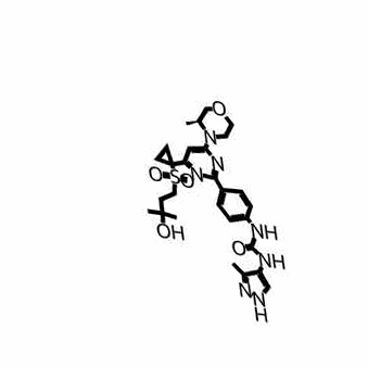 Cc1n[nH]cc1NC(=O)Nc1ccc(-c2nc(N3CCOC[C@@H]3C)cc(C3(S(=O)(=O)CCC(C)(C)O)CC3)n2)cc1